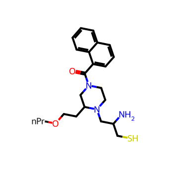 CCCOCCC1CN(C(=O)c2cccc3ccccc23)CCN1CC(N)CS